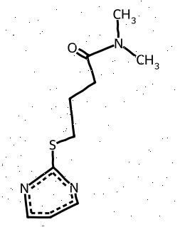 CN(C)C(=O)CCCSc1ncccn1